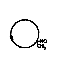 CC1(N=O)CCCCCC#CCCCCCCCCCC1